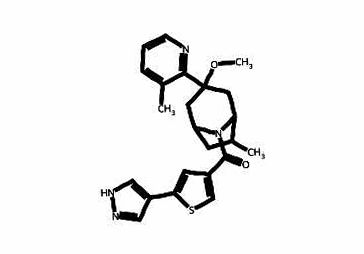 COC1(c2ncccc2C)CC2CC(C)C(C1)N2C(=O)c1csc(-c2cn[nH]c2)c1